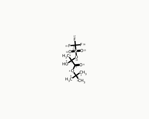 CC(C)(C)OC(=O)C(C)(O)OS(=O)(=O)C(F)(F)F